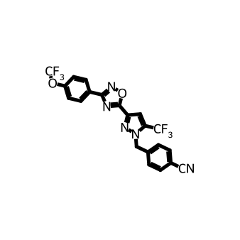 N#Cc1ccc(Cn2nc(-c3nc(-c4ccc(OC(F)(F)F)cc4)no3)cc2C(F)(F)F)cc1